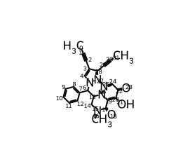 CC#Cc1cn(C(c2ccccc2)C2CN(C)C(=O)c3c(O)c(=O)cnn32)nc1C#CC